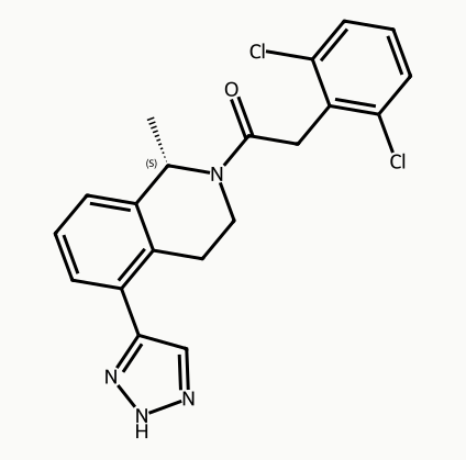 C[C@H]1c2cccc(-c3cn[nH]n3)c2CCN1C(=O)Cc1c(Cl)cccc1Cl